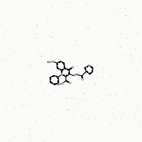 COC(=O)c1c(CNC(=O)c2cccnc2)c(=O)c2ccc(OC)cc2n1-c1ccccc1